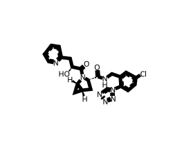 O=C(NCc1cc(Cl)ccc1-n1cnnn1)[C@@H]1C[C@@H]2C[C@@H]2N1C(=O)[C@H](O)Cc1ccccn1